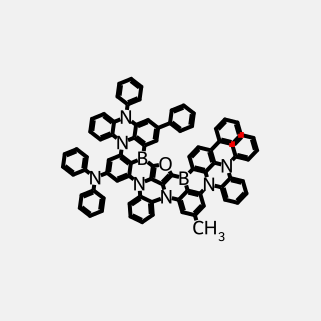 Cc1cc2c3c(c1)N1c4ccccc4N4c5cc(N(c6ccccc6)c6ccccc6)cc6c5B(c5cc(-c7ccccc7)cc7c5N6c5ccccc5N7c5ccccc5)c5oc(c1c54)B3c1ccc(-c3ccccc3)c3c1N2c1ccccc1N3c1ccccc1